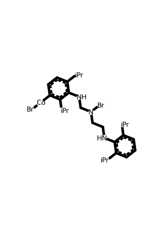 CC(C)c1cccc(C(C)C)c1NCCN(Br)CNc1c(C(C)C)cc[c]([Co][Br])c1C(C)C